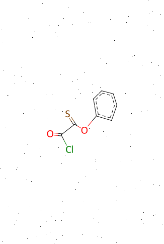 O=C(Cl)C(=S)Oc1ccccc1